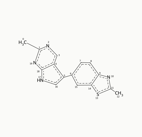 Cc1ncc2c(-c3ccc4nc(C)sc4c3)c[nH]c2n1